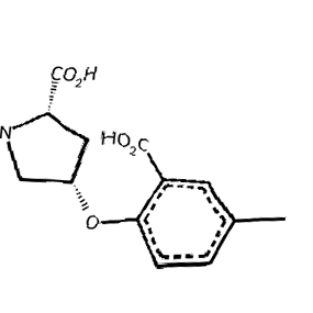 Cc1ccc(O[C@@H]2CN[C@H](C(=O)O)C2)c(C(=O)O)c1